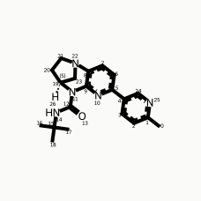 Cc1ccc(-c2ccc3c(n2)N(C(=O)NC(C)(C)C)[C@H]2CCN3C2)cn1